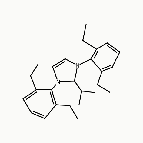 CCc1cccc(CC)c1N1C=CN(c2c(CC)cccc2CC)C1C(C)C